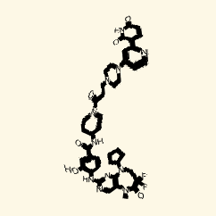 CN1C(=O)C(F)(F)CN(C2CCCC2)c2nc(Nc3ccc(C(=O)NC4CCN(C(=O)CCN5CCN(c6ccnc(C7CCC(=O)NC7=O)c6)CC5)CC4)cc3O)ncc21